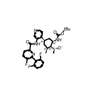 C[C@H]1C[C@@H](c2ccncc2NC(=O)c2ccc(F)c(-c3c(F)cccc3F)n2)C[C@@H](NC(=O)OC(C)(C)C)[C@H]1[S+](C)[O-]